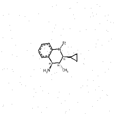 CCN1c2ccccc2[C@H](N)[C@@H](C)[C@@H]1C1CC1